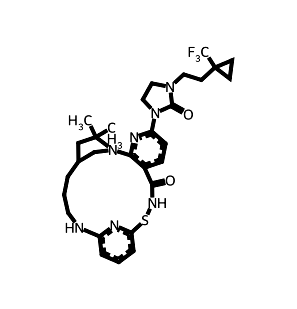 CC1(C)CC2CCCNc3cccc(n3)SNC(=O)c3ccc(N4CCN(CCC5(C(F)(F)F)CC5)C4=O)nc3N1C2